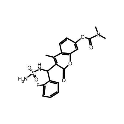 Cc1c(C(NS(N)(=O)=O)c2ccccc2F)c(=O)oc2cc(OC(=O)N(C)C)ccc12